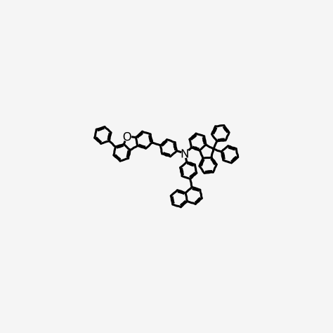 c1ccc(-c2cccc3c2oc2ccc(-c4ccc(N(c5ccc(-c6cccc7ccccc67)cc5)c5cccc6c5-c5ccccc5C6(c5ccccc5)c5ccccc5)cc4)cc23)cc1